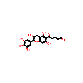 O=CCCCC(O)c1c(O)cc2c(c1O)CC(O)C(c1cc(O)c(O)c(O)c1)O2